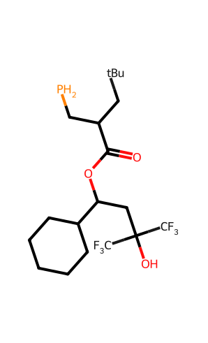 CC(C)(C)CC(CP)C(=O)OC(CC(O)(C(F)(F)F)C(F)(F)F)C1CCCCC1